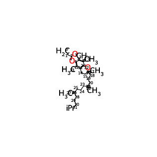 C=CC(=O)Oc1c(C)c(C)c2c(c1C)CC[C@@](C)(CCC[C@H](C)CCC[C@H](C)CCCC(C)C)O2